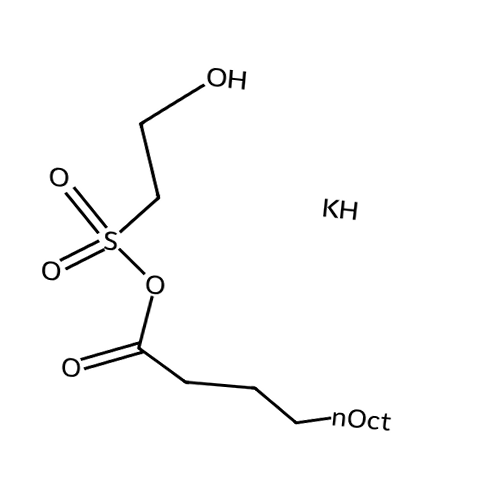 CCCCCCCCCCCC(=O)OS(=O)(=O)CCO.[KH]